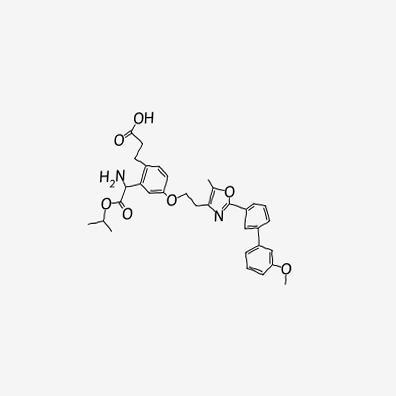 COc1cccc(-c2cccc(-c3nc(CCOc4ccc(CCC(=O)O)c(C(N)C(=O)OC(C)C)c4)c(C)o3)c2)c1